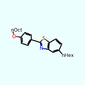 CCCCCCCCOc1ccc(-c2nc3cc(CCCCCC)ccc3s2)cc1